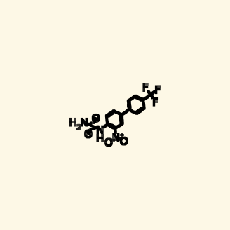 NS(=O)(=O)Nc1ccc(-c2ccc(C(F)(F)F)cc2)cc1[N+](=O)[O-]